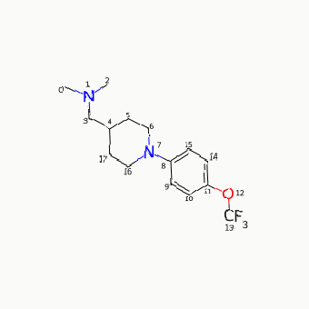 CN(C)CC1CCN(c2ccc(OC(F)(F)F)cc2)CC1